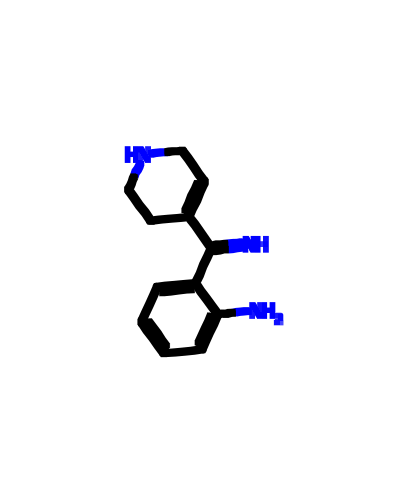 N=C(C1=CCNCC1)c1ccccc1N